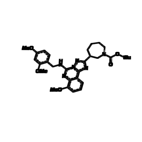 COc1ccc(CNc2nc3c(OC)cccc3c3nc(C4CCCCN(C(=O)OC(C)(C)C)C4)nn23)c(OC)c1